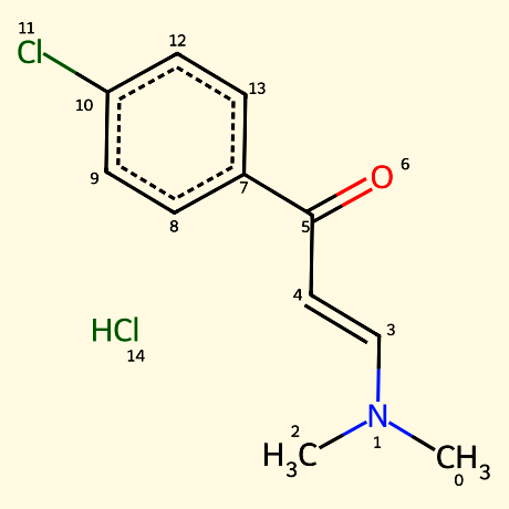 CN(C)C=CC(=O)c1ccc(Cl)cc1.Cl